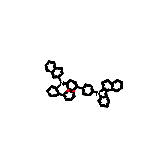 c1ccc(-c2ccccc2N(c2ccc(-c3ccc(-n4c5ccccc5c5c6ccccc6ccc54)cc3)cc2)c2ccc3ccccc3c2)cc1